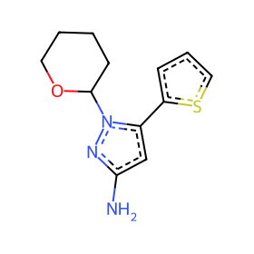 Nc1cc(-c2cccs2)n(C2CCCCO2)n1